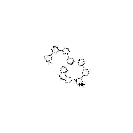 C1=NC=C(c2cccc(-c3cccc(-c4cc(-c5cccc(-c6cccc(-c7cncnc7)c6)c5)cc(-c5ccc6ccc7ccccc7c6c5)c4)c3)c2)CN1